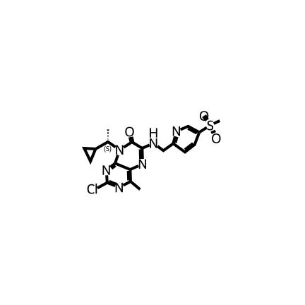 Cc1nc(Cl)nc2c1nc(NCc1ccc(S(C)(=O)=O)cn1)c(=O)n2[C@@H](C)C1CC1